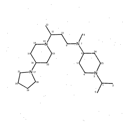 CC(C)N1CCC(N(C)CCC(C)N2CCC(N3CCCC3)CC2)CC1